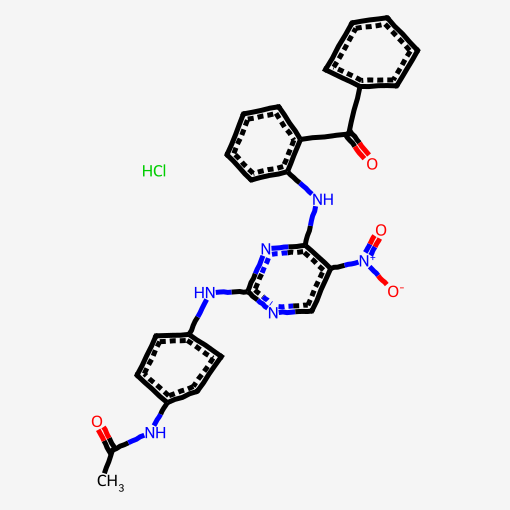 CC(=O)Nc1ccc(Nc2ncc([N+](=O)[O-])c(Nc3ccccc3C(=O)c3ccccc3)n2)cc1.Cl